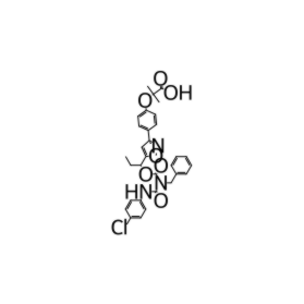 CCC(OC(=O)N(Cc1ccccc1)C(=O)Nc1ccc(Cl)cc1)c1cc(-c2ccc(OC(C)(C)C(=O)O)cc2)no1